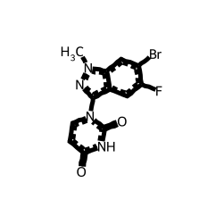 Cn1nc(-n2ccc(=O)[nH]c2=O)c2cc(F)c(Br)cc21